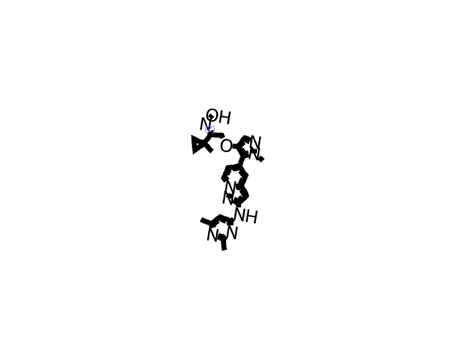 Cc1cc(Nc2cc3cc(-c4c(OC/C(=N\O)C5(C)CC5)cnn4C)ccn3n2)nc(C)n1